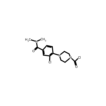 CN(C)C(=O)c1ccc(N2CCN(C(=O)Cl)CC2)c(Cl)c1